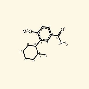 COc1ccc(C(N)=O)cc1C1CCCCN1C